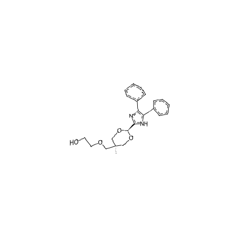 C[C@]1(COCCO)CO[C@@H](c2nc(-c3ccccc3)c(-c3ccccc3)[nH]2)OC1